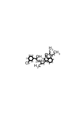 CCN(CC)c1cccc2c(C[C@@H](C)NC[C@H](O)c3cccc(Cl)c3)cn(C)c12